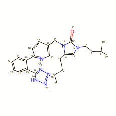 CCCCc1cn(CCC(C)C)c(=O)n1Cc1ccc(-c2ccccc2-c2nnn[nH]2)nc1